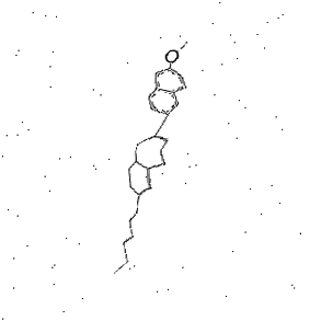 CCCCCCC1CCC2CC(c3ccc4cc(OC)ccc4c3)CCC2C1